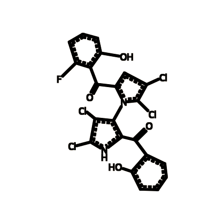 O=C(c1ccccc1O)c1[nH]c(Cl)c(Cl)c1-n1c(C(=O)c2c(O)cccc2F)cc(Cl)c1Cl